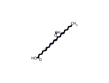 CCCCC/C=C/CC(/C=C/C=C/C/C=C/CCCC(=O)O)OO